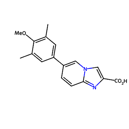 COc1c(C)cc(-c2ccc3nc(C(=O)O)cn3c2)cc1C